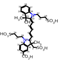 CC1(CS(=O)(=O)O)C(/C=C/C=C/C=C2/N(CCCS(=O)(=O)O)c3ccccc3C2(C)C)=[N+](CCCS(=O)(=O)O)c2ccc(C(=O)O)cc21